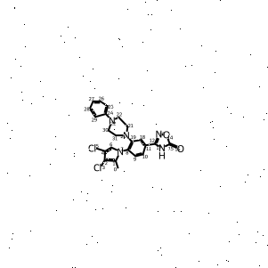 Cc1c(Cl)c(Cl)cn1-c1ccc(-c2noc(=O)[nH]2)cc1N1CCN(c2ccccc2)CC1